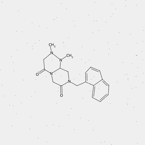 CN1CC(=O)N2CC(=O)N(Cc3cccc4ccccc34)CC2N1C